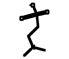 CN(C)CCS([O])(=O)=O